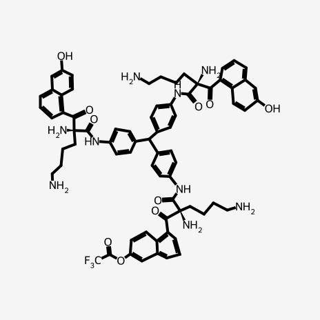 NCCCC[C@@](N)(C(=O)Nc1ccc(C(c2ccc(NC(=O)[C@](N)(CCCCN)C(=O)c3cccc4cc(O)ccc34)cc2)c2ccc(NC(=O)[C@](N)(CCCCN)C(=O)c3cccc4cc(OC(=O)C(F)(F)F)ccc34)cc2)cc1)C(=O)c1cccc2cc(O)ccc12